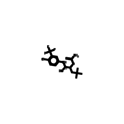 CC(C)(C)CC(OC(N)=O)[C@@H](O)Nc1ccc(Cl)c(C(F)(F)F)c1